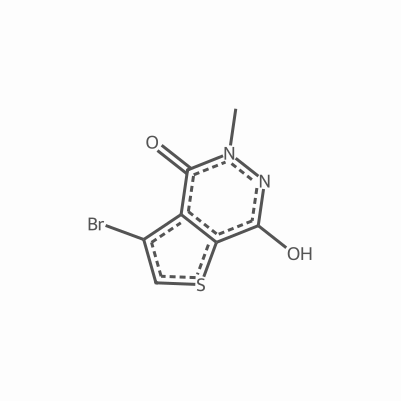 Cn1nc(O)c2scc(Br)c2c1=O